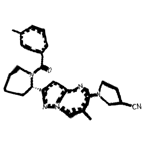 Cc1cccc(C(=O)N2CCCC[C@H]2c2cc3nc(N4CCC(C#N)C4)c(C)cn3n2)c1